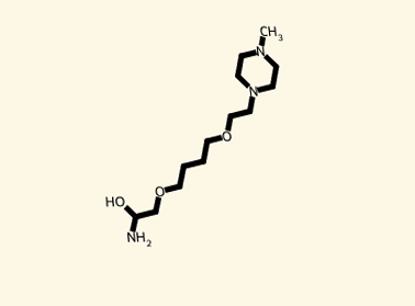 CN1CCN(CCOCCCCOCC(N)O)CC1